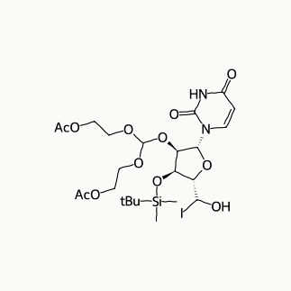 CC(=O)OCCOC(OCCOC(C)=O)O[C@@H]1[C@H](O[Si](C)(C)C(C)(C)C)[C@@H](C(O)I)O[C@H]1n1ccc(=O)[nH]c1=O